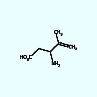 C=C(C)C(N)CC(=O)O